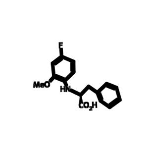 COc1cc(F)ccc1N[C@@H](Cc1ccccc1)C(=O)O